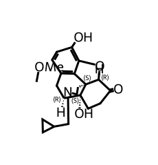 COC.O=C1CC[C@@]2(O)[C@H]3Cc4ccc(O)c5c4[C@@]2(CCN3CC2CC2)[C@H]1O5